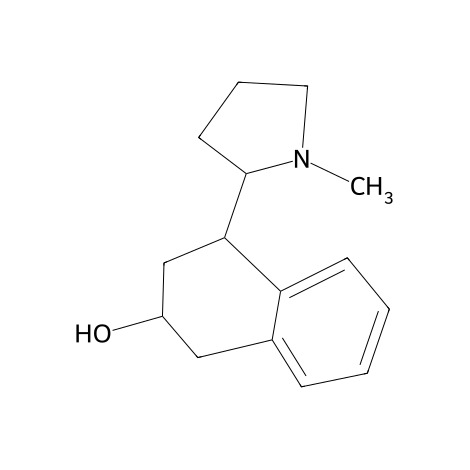 CN1CCCC1C1CC(O)Cc2ccccc21